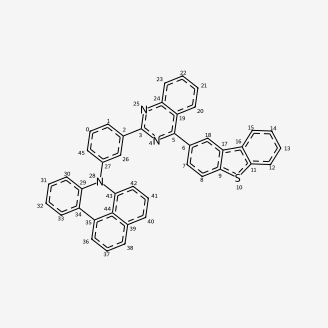 c1cc(-c2nc(-c3ccc4sc5ccccc5c4c3)c3ccccc3n2)cc(N2c3ccccc3-c3cccc4cccc2c34)c1